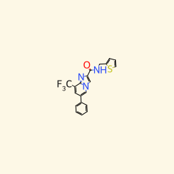 O=C(NCc1cccs1)c1cn2cc(-c3ccccc3)cc(C(F)(F)F)c2n1